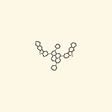 c1ccc(-c2ccc3c(-c4ccc5sc6cc7ccccc7cc6c5c4)cc4c(-c5ccccc5)cc(-c5ccc6sc7cc8ccccc8cc7c6c5)c5ccc2c3c54)cc1